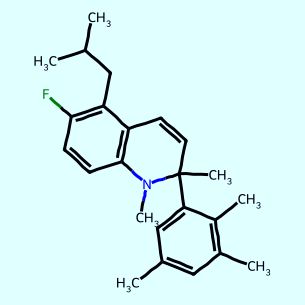 Cc1cc(C)c(C)c(C2(C)C=Cc3c(ccc(F)c3CC(C)C)N2C)c1